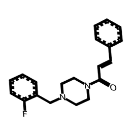 O=C(C=Cc1ccccc1)N1CCN(Cc2ccccc2F)CC1